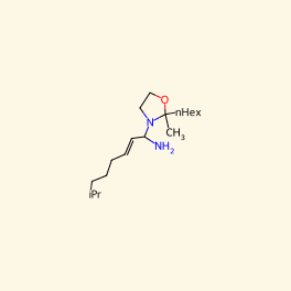 CCCCCCC1(C)OCCN1C(N)C=CCCCC(C)C